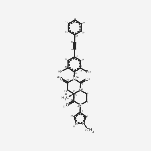 Cn1cc(N2CCN3C(=O)N(c4c(F)cc(C#Cc5ccccc5)cc4F)C(=O)C[C@@]3(C)C2=O)cn1